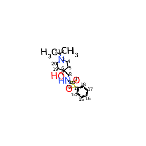 CC(C)N1CCC(O)(CNS(=O)(=O)c2ccccc2)CC1